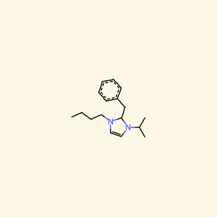 CCCCN1C=CN(C(C)C)C1Cc1ccccc1